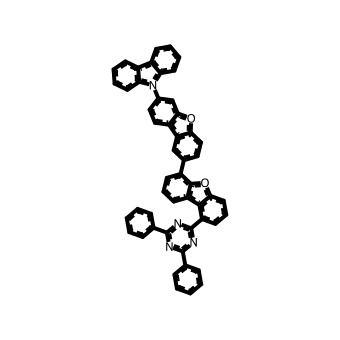 c1ccc(-c2nc(-c3ccccc3)nc(-c3cccc4oc5c(-c6ccc7oc8cc(-n9c%10ccccc%10c%10ccccc%109)ccc8c7c6)cccc5c34)n2)cc1